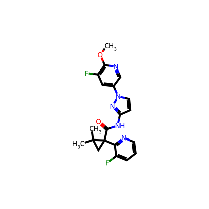 COc1ncc(-n2ccc(NC(=O)C3(c4ncccc4F)CC3(C)C)n2)cc1F